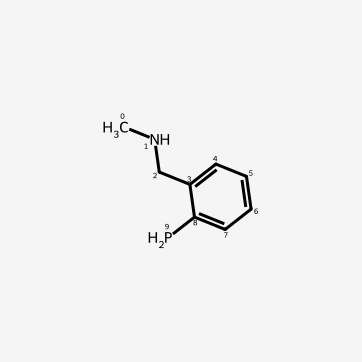 CNCc1ccccc1P